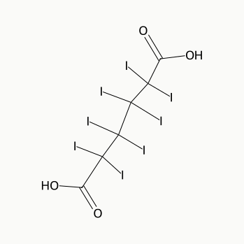 O=C(O)C(I)(I)C(I)(I)C(I)(I)C(I)(I)C(=O)O